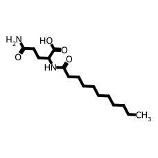 CCCCCCCCCCC(=O)NC(CCC(N)=O)C(=O)O